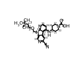 C[Si](C)(C)CCOCn1c2cnc(C#N)cc2c2c(NC3CCN(C(=O)O)CC3)ccnc21